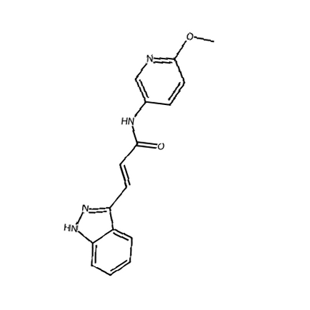 COc1ccc(NC(=O)/C=C/c2n[nH]c3ccccc23)cn1